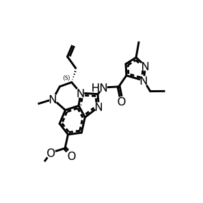 C=CC[C@H]1CN(C)c2cc(C(=O)OC)cc3nc(NC(=O)c4cc(C)nn4CC)n1c23